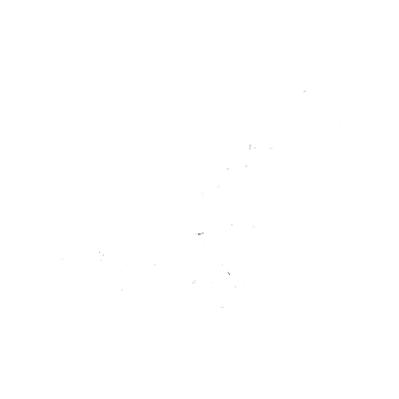 C[C@]12CC[C@@H]3c4ccc(Nc5ccc(F)c(F)c5)cc4CC[C@H]3[C@@H]1[C@@H](CCCC(=O)N1CCOCC1)CC2=O